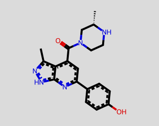 Cc1n[nH]c2nc(-c3ccc(O)cc3)cc(C(=O)N3CCN[C@@H](C)C3)c12